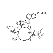 CCOc1ccc2c(O[C@]3(C)C[C@H]4C(=O)N[C@]5(C(=O)NS(=O)(=O)C6(CF)CC6)C[C@H]5/C=C\CC[C@H](C)C[C@@H](C)[C@H](N(C(=O)O)C(C)CC)C(=O)N4C3(F)F)nccc2c1